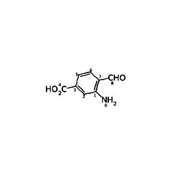 Nc1cc(C(=O)O)ccc1C=O